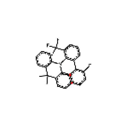 CC1(C)c2ccccc2N(c2c(-c3c(F)cccc3F)cccc2C(F)(F)F)c2ccccc21